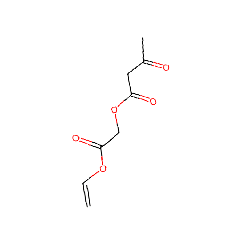 C=COC(=O)COC(=O)CC(C)=O